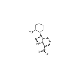 COC1CCCCC1n1nnc2c([N+](=O)[O-])cccc21